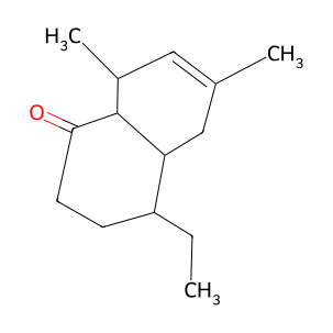 CCC1CCC(=O)C2C(C)C=C(C)CC12